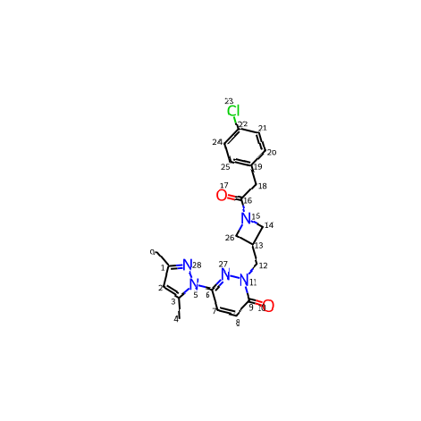 Cc1cc(C)n(-c2ccc(=O)n(CC3CN(C(=O)Cc4ccc(Cl)cc4)C3)n2)n1